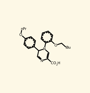 CCCOc1ccc(C2C=NC(C(=O)O)=CN2c2ccccc2OCC(C)CC)cc1